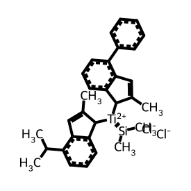 CC1=Cc2c(-c3ccccc3)cccc2[CH]1[Ti+2]([CH]1C(C)=Cc2c(C(C)C)cccc21)=[Si](C)C.[Cl-].[Cl-]